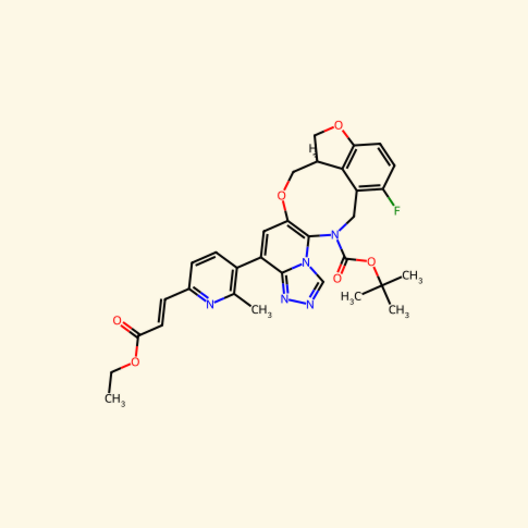 CCOC(=O)/C=C/c1ccc(-c2cc3c(n4cnnc24)N(C(=O)OC(C)(C)C)Cc2c(F)ccc4c2[C@H](CO4)CO3)c(C)n1